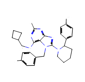 COc1ccc(C2CCCCN2c2nc3nc(C(=O)O)nc(N[C@H](C)C4CCC4)c3n2Cc2ccc(C(F)(F)F)cc2)cc1